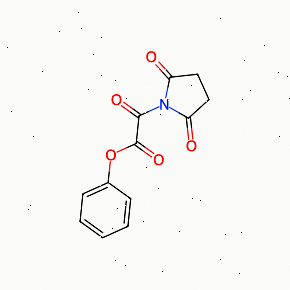 O=C(Oc1ccccc1)C(=O)N1C(=O)CCC1=O